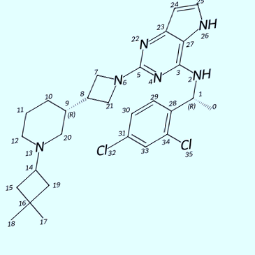 C[C@@H](Nc1nc(N2CC([C@H]3CCCN(C4CC(C)(C)C4)C3)C2)nc2cc[nH]c12)c1ccc(Cl)cc1Cl